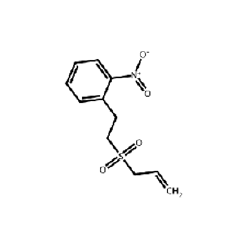 C=CCS(=O)(=O)CCc1ccccc1[N+](=O)[O-]